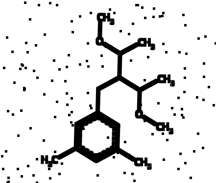 COC(C)C(Cc1cc(C)cc(C)c1)C(C)OC